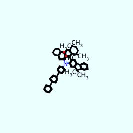 CC1(C)CCC(C)(C)c2c(-c3cc4c(cc3N(c3ccc(-c5ccc(-c6ccccc6)cc5)cc3)c3ccc5c(c3)CCCC5)C(C)(C)c3ccccc3-4)cccc21